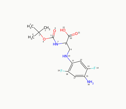 CC(C)(C)OC(=O)NC(CNc1cc(F)c(N)cc1F)C(=O)O